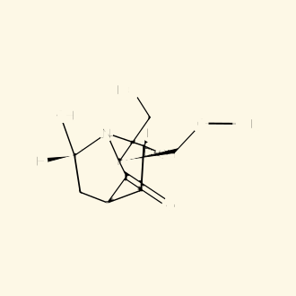 COC[C@@]1(CO)C(=O)C2C[C@@H](C)N1[C@@H](C)C2